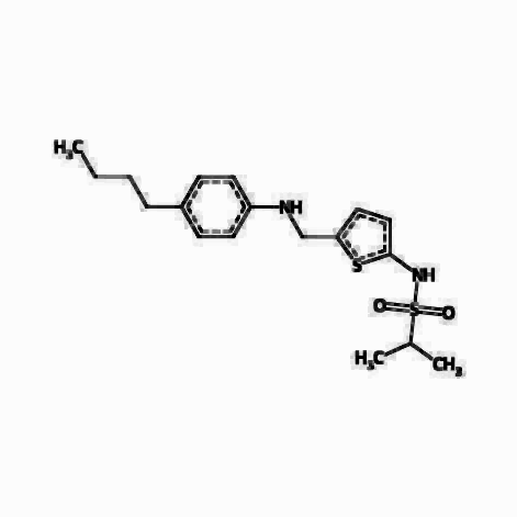 CCCCc1ccc(NCc2ccc(NS(=O)(=O)C(C)C)s2)cc1